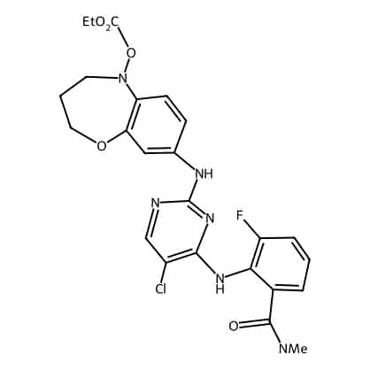 CCOC(=O)ON1CCCOc2cc(Nc3ncc(Cl)c(Nc4c(F)cccc4C(=O)NC)n3)ccc21